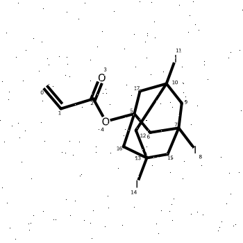 C=CC(=O)OC12CC3(I)CC(I)(CC(I)(C3)C1)C2